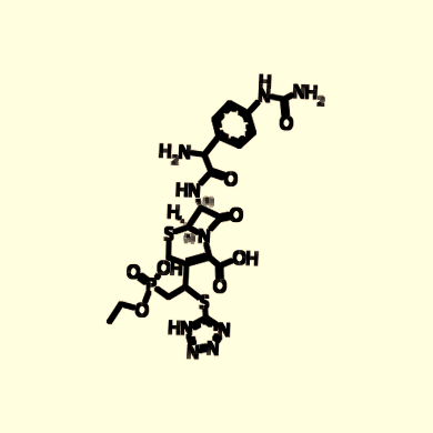 CCOP(=O)(O)CC(Sc1nnn[nH]1)C1=C(C(=O)O)N2C(=O)[C@@H](NC(=O)C(N)c3ccc(NC(N)=O)cc3)[C@@H]2SC1